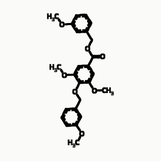 COc1cccc(COC(=O)c2cc(OC)c(OCc3cccc(OC)c3)c(OC)c2)c1